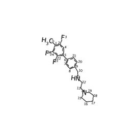 Cc1c(F)cc(-c2ccc(CNCCN3CCCCC3)cc2)c(F)c1F